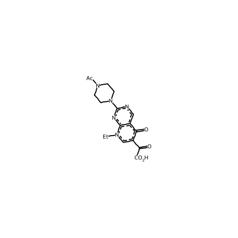 CCn1cc(C(=O)C(=O)O)c(=O)c2cnc(N3CCN(C(C)=O)CC3)nc21